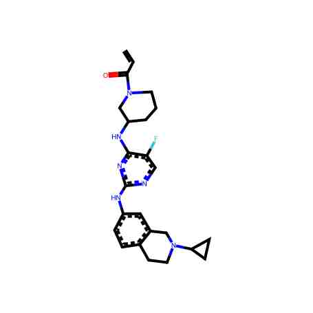 C=CC(=O)N1CCCC(Nc2nc(Nc3ccc4c(c3)CN(C3CC3)CC4)ncc2F)C1